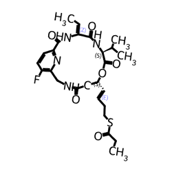 C/C=C1\NC(=O)c2ccc(F)c(n2)CNC(=O)C[C@@H](/C=C/CCSC(=O)CC)OC(=O)[C@H](C(C)C)NC1=O